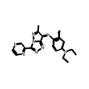 CCN(CC)c1ccc(/N=C2/C(C)=Nn3c2nnc3-c2cnccn2)c(C)c1